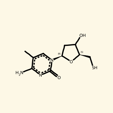 Cc1cn([C@H]2CC(O)[C@@H](CS)O2)c(=O)nc1N